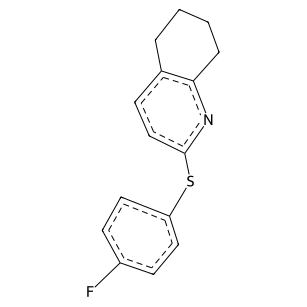 Fc1ccc(Sc2ccc3c(n2)CCCC3)cc1